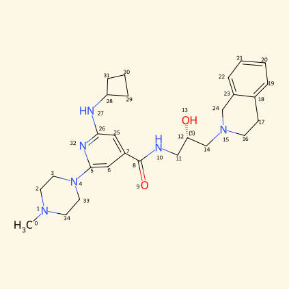 CN1CCN(c2cc(C(=O)NC[C@H](O)CN3CCc4ccccc4C3)cc(NC3CCC3)n2)CC1